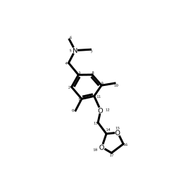 Cc1cc(CN(C)C)cc(C)c1OCC1OCCO1